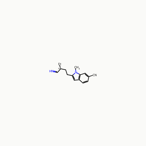 CC[C@H](C=N)CCc1cc2ccc(C#N)cc2n1C